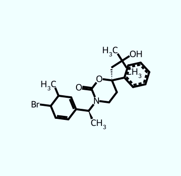 CC1C=C([C@H](C)N2CC[C@](CC(C)(C)O)(c3ccccc3)OC2=O)C=CC1Br